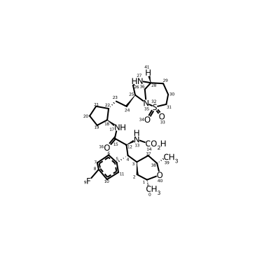 C[C@@H]1C[C@@H]([C@H](c2ccc(F)cc2)[C@H](NC(=O)O)C(=O)N[C@H]2CCC[C@@H]2CC[C@H]2CN[C@@H]3CCCS(=O)(=O)N2C3)C[C@H](C)O1